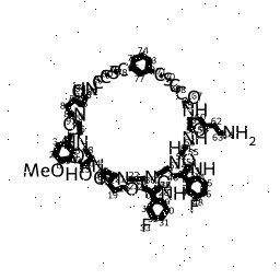 COc1ccc(C[C@@H]2NC(=O)[C@H]([C@H](C)O)NC(=O)[C@H]3CCCN3C(=O)[C@H](Cc3c[nH]c4ccc(F)cc34)NC(=O)[C@H](Cc3c[nH]c4ccc(F)cc34)NC(=O)[C@@H](C)NC(=O)[C@H](CCCCN)NC(=O)CCSCc3cccc(c3)CSCCNC(=O)[C@]3(C)CCCN3C2=O)cc1